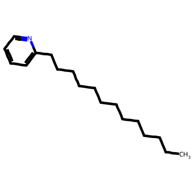 CCCCCCCCCCCCCc1ccccn1